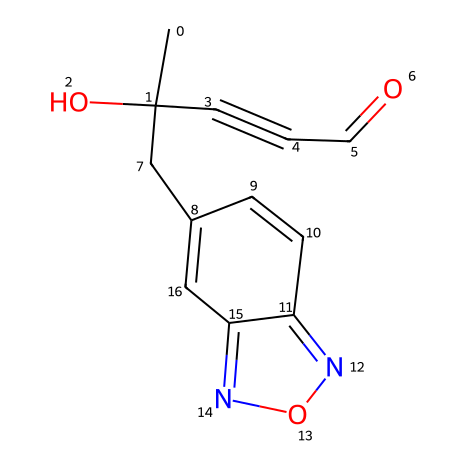 CC(O)(C#CC=O)Cc1ccc2nonc2c1